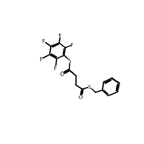 O=C(CCC(=O)Sc1c(F)c(F)c(F)c(F)c1F)SCc1ccccc1